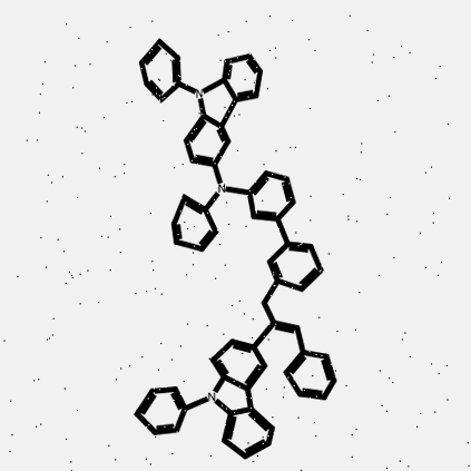 C(=C(\Cc1cccc(-c2cccc(N(c3ccccc3)c3ccc4c(c3)c3ccccc3n4-c3ccccc3)c2)c1)c1ccc2c(c1)c1ccccc1n2-c1ccccc1)/c1ccccc1